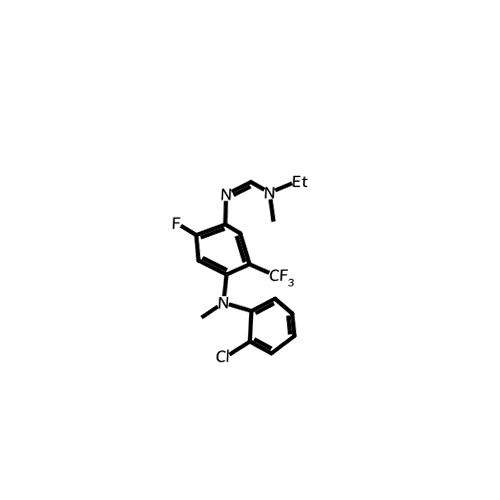 CCN(C)/C=N\c1cc(C(F)(F)F)c(N(C)c2ccccc2Cl)cc1F